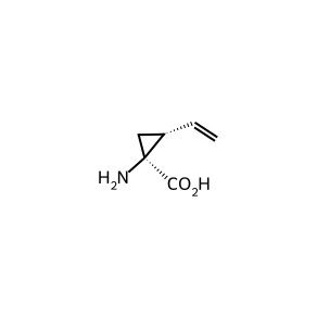 C=C[C@H]1C[C@@]1(N)C(=O)O